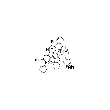 Cl.Cl.[CH2]=[Zr]([CH3])([C]1=CC(C2(C)CCCCC2)=CC1C)([c]1ccc2ccccc2c1)[c]1c2c(cc(C(C)(C)C)c1-c1ccccc1)-c1cc(C(C)(C)C)c(-c3ccccc3)cc1C2